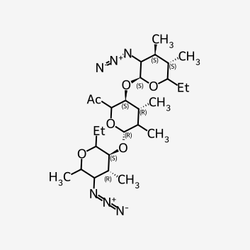 CCC1O[C@@H](O[C@@H]2C(C(C)=O)O[C@@H](O[C@@H]3C(CC)OC(C)C(N=[N+]=[N-])[C@H]3C)C(C)[C@H]2C)C(N=[N+]=[N-])[C@@H](C)[C@@H]1C